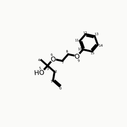 C=CCC(C)(O)OCCOc1ccccc1